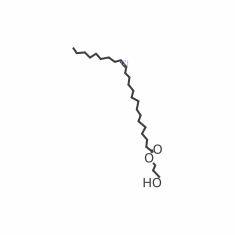 CCCCCCCC/C=C\CCCCCCCCCCCCCC(=O)OCCCO